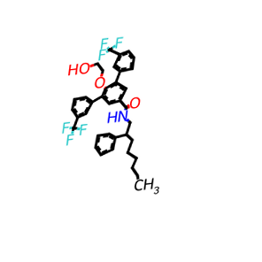 CCCCCCC(CNC(=O)c1cc(-c2cccc(C(F)(F)F)c2)c(OCCO)c(-c2cccc(C(F)(F)F)c2)c1)c1ccccc1